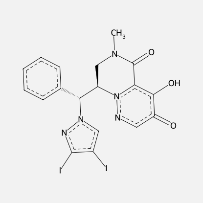 CN1C[C@H]([C@@H](c2ccccc2)n2cc(I)c(I)n2)n2ncc(=O)c(O)c2C1=O